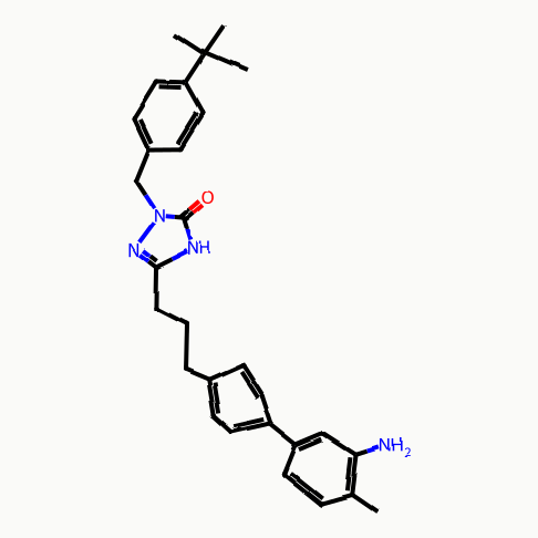 Cc1ccc(-c2ccc(CCCc3nn(Cc4ccc(C(C)(C)C)cc4)c(=O)[nH]3)cc2)cc1N